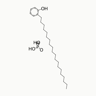 CCCCCCCCCCCCCCCCCCCCc1ccccc1O.O=[PH](O)O